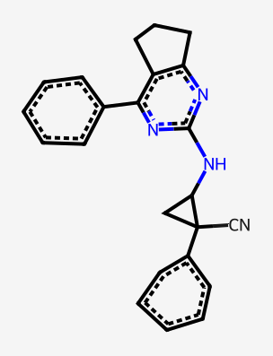 N#CC1(c2ccccc2)CC1Nc1nc2c(c(-c3ccccc3)n1)CCC2